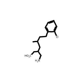 CC(CCc1ccccc1Cl)CC(CN)CC(=O)O